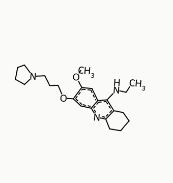 CCNc1c2c(nc3cc(OCCCN4CCCC4)c(OC)cc13)CCCC2